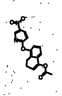 CC(=O)OC1=CCCc2c(Oc3ccc([N+](=O)[O-])cn3)cccc21